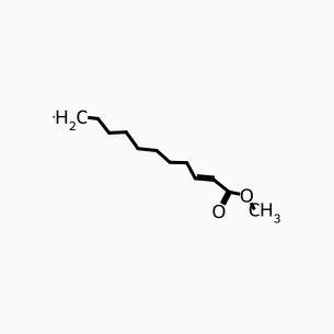 [CH2]CCCCCCCC=CC(=O)OC